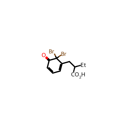 CCC(CC1=CC=CC(=O)C1(Br)Br)C(=O)O